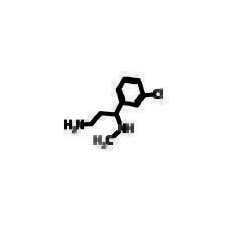 CNC(CCN)c1cccc(Cl)c1